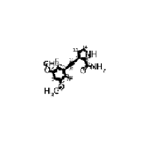 COc1cc(OC)c(F)c(C#Cc2cc[nH]c2C(N)=O)c1F